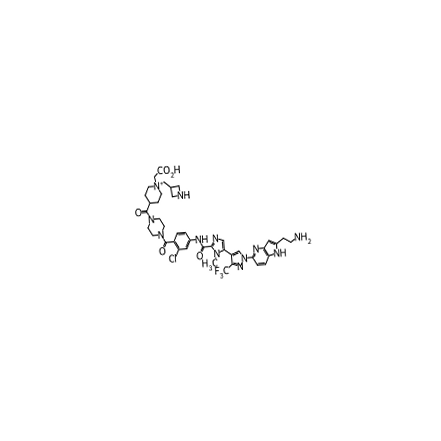 Cn1c(-c2cn(-c3ccc4[nH]c(CCN)cc4n3)nc2C(F)(F)F)cnc1C(=O)Nc1ccc(C(=O)N2CCN(C(=O)C3CC[N+](CC(=O)O)(CC4CNC4)CC3)CC2)c(Cl)c1